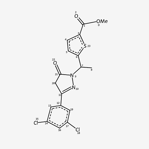 COC(=O)c1ccc(C(C)N2N=C(c3cc(Cl)cc(Cl)c3)CC2=O)s1